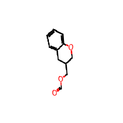 O=COCC1COc2ccccc2C1